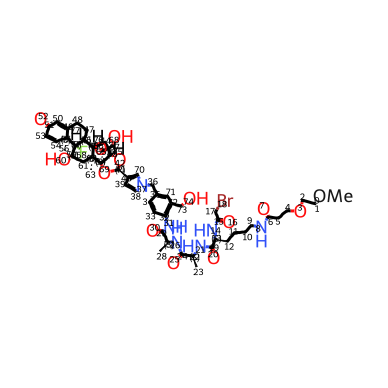 COCCOCCC(=O)NCCCC[C@H](NC(=O)CBr)C(=O)N[C@@H](C)C(=O)N[C@@H](C)C(=O)Nc1ccc(Cn2ccc([C@@H]3O[C@@H]4C[C@H]5[C@@H]6CCC7=CC(=O)C=C[C@]7(C)[C@@]6(F)[C@@H](O)C[C@]5(C)[C@]4(C(=O)CO)O3)c2)cc1CO